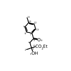 CCOC(=O)C(C)(O)CC(=O)c1ccc(C)cc1